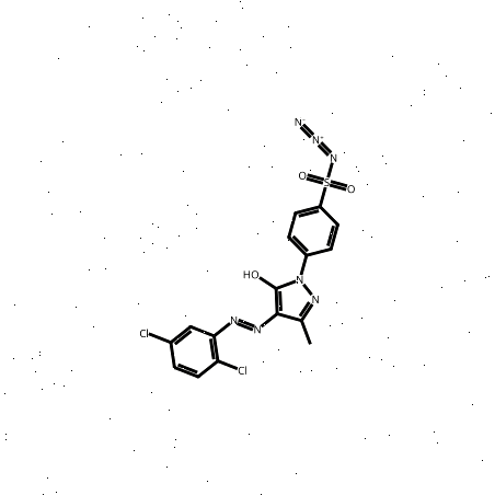 Cc1nn(-c2ccc(S(=O)(=O)N=[N+]=[N-])cc2)c(O)c1N=Nc1cc(Cl)ccc1Cl